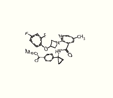 COC(=O)c1ccc(C2(NC(=O)c3cc(C)cnc3N3CC(Oc4ccc(F)cc4F)C3)CC2)cc1